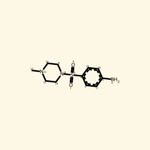 Bc1ccc(S(=O)(=O)N2CCN(C)CC2)cc1